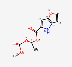 CC(C)OC(=O)OC(OC(=O)c1cc2occc2[nH]1)C(C)C